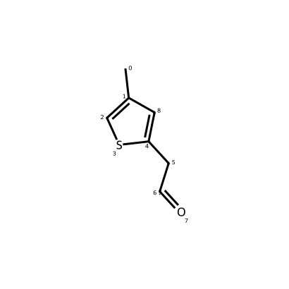 Cc1csc(C[C]=O)c1